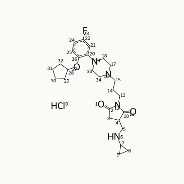 Cl.O=C1CC(CNC2CC2)C(=O)N1CCCN1CCN(c2cc(F)ccc2OC2CCCC2)CC1